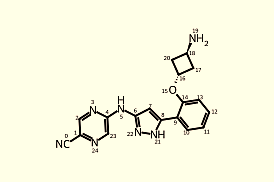 N#Cc1cnc(Nc2cc(-c3ccccc3O[C@H]3C[C@H](N)C3)[nH]n2)cn1